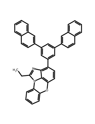 CCc1nc2c(-c3cc(-c4ccc5ccccc5c4)cc(-c4ccc5ccccc5c4)c3)ccc3c2n1-c1ccccc1O3